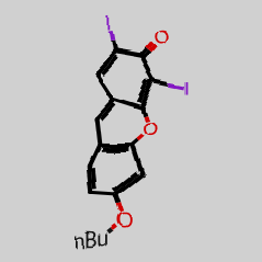 CCCCOc1ccc2cc3cc(I)c(=O)c(I)c-3oc2c1